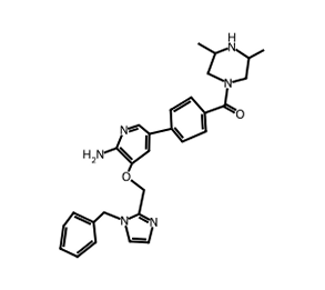 CC1CN(C(=O)c2ccc(-c3cnc(N)c(OCc4nccn4Cc4ccccc4)c3)cc2)CC(C)N1